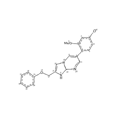 COc1cc(Cl)ccc1C1=CN2C=C(COc3ccccc3)NC2N=C1